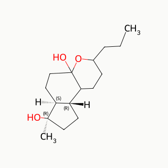 CCCC1CCC2[C@@H]3CC[C@@](C)(O)[C@H]3CCC2(O)O1